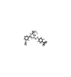 N#Cc1cccc(N(CCCCc2ccc([N+](=O)[O-])cc2)CC(N)=O)c1